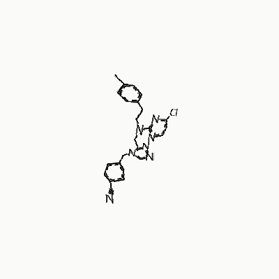 Cc1ccc(CCN(Cc2nncn2Cc2ccc(C#N)cc2)c2nccc(Cl)n2)cc1